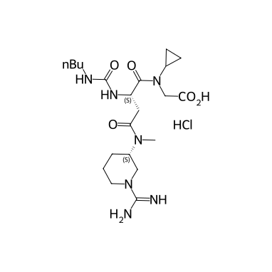 CCCCNC(=O)N[C@@H](CC(=O)N(C)[C@H]1CCCN(C(=N)N)C1)C(=O)N(CC(=O)O)C1CC1.Cl